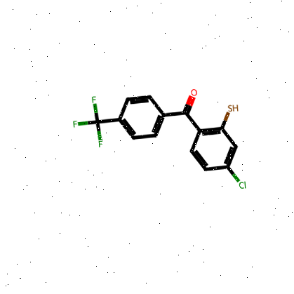 O=C(c1ccc(C(F)(F)F)cc1)c1ccc(Cl)cc1S